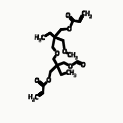 C=CC(=O)OCC(CC)(COC)COCC(CC)(COC=O)COC(=O)C=C